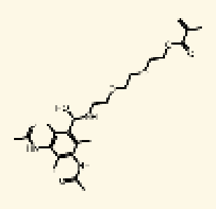 C=C(C)C(=O)OCCOCCOCCNC(O)c1c(I)c(NC(C)=O)c(I)c(NC(C)=O)c1I